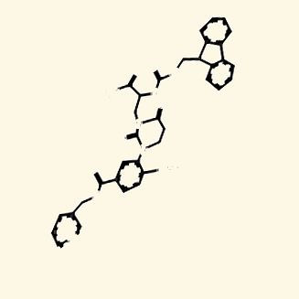 COc1ccc(C(=O)OCc2ccccc2)cc1N1CCC(=O)N(CC(NC(=O)OCC2c3ccccc3-c3ccccc32)C(N)=O)C1=O